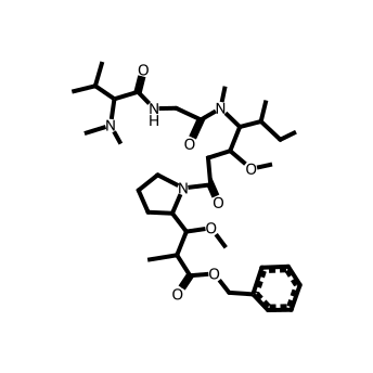 CCC(C)C(C(CC(=O)N1CCCC1C(OC)C(C)C(=O)OCc1ccccc1)OC)N(C)C(=O)CNC(=O)C(C(C)C)N(C)C